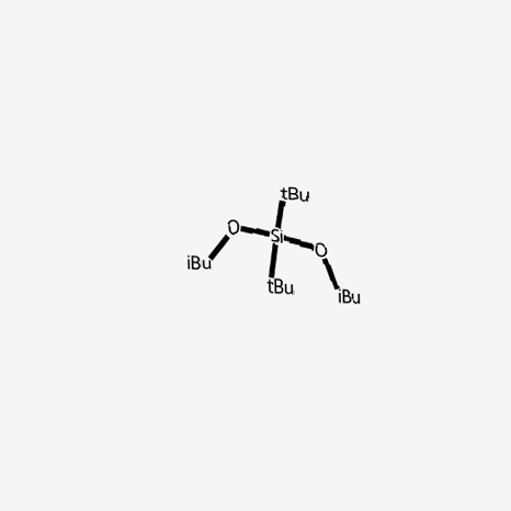 CCC(C)O[Si](OC(C)CC)(C(C)(C)C)C(C)(C)C